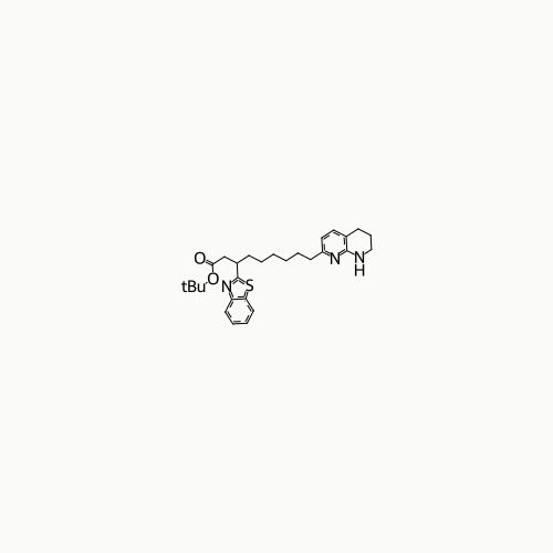 CC(C)(C)OC(=O)CC(CCCCCCc1ccc2c(n1)NCCC2)c1nc2ccccc2s1